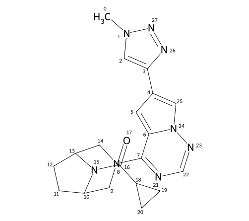 Cn1cc(-c2cc3c(N4CC5CCC(C4)N5C(=O)C4CC4)ncnn3c2)nn1